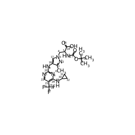 Cc1nn(CC(NC(=O)OC(C)(C)C)C(=O)O)cc1Nc1ncc(C(F)(F)F)c(NC2CC2)n1